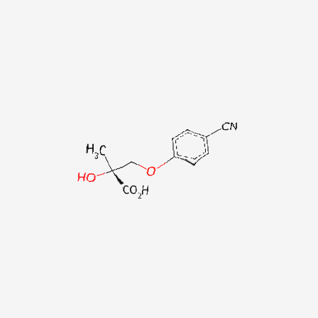 C[C@@](O)(COc1ccc(C#N)cc1)C(=O)O